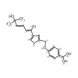 CCC(=CC=CC(O)(C(F)(F)F)C(F)(F)F)c1csc(COc2ccc(C(O)O)cc2)c1